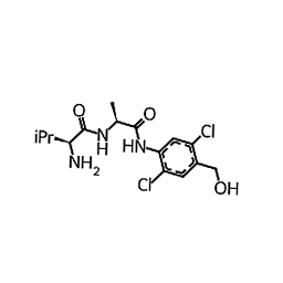 CC(C)[C@H](N)C(=O)N[C@@H](C)C(=O)Nc1cc(Cl)c(CO)cc1Cl